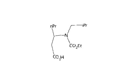 CCCC(CC(=O)O)N(CC(C)C)C(=O)OCC